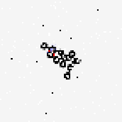 C=C/C=C(\C=C/N(c1ccccc1)c1ccc2c(c1)C(C1=CC=CCC1)(c1ccccc1)c1cc(N(c3ccccc3)c3ccc(-c4ccccc4)cc3)c3ccccc3c1-2)c1ccccc1